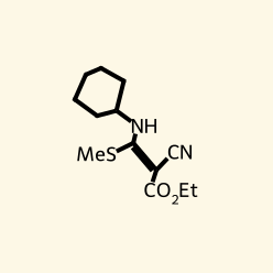 CCOC(=O)/C(C#N)=C(/NC1CCCCC1)SC